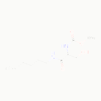 CCCCCCCCCCCCCCNC(=O)C(CO)NC(=O)OC(C)(C)C